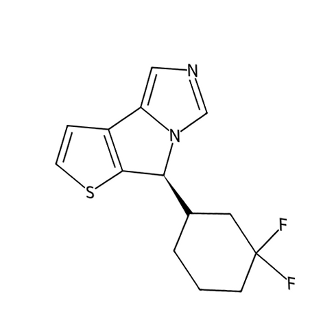 FC1(F)CCCC([C@H]2c3sccc3-c3cncn32)C1